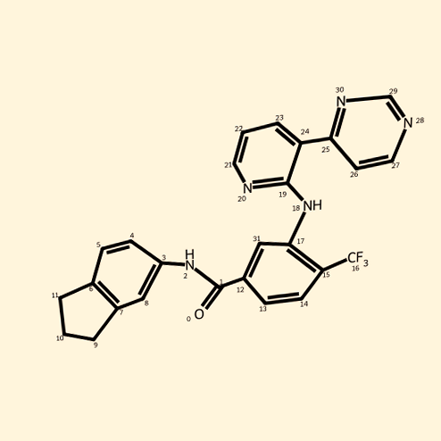 O=C(Nc1ccc2c(c1)CCC2)c1ccc(C(F)(F)F)c(Nc2ncccc2-c2ccncn2)c1